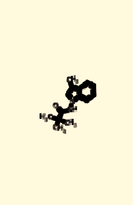 Cc1cn(NC(=O)C(C)(C)C)c2ccccc12